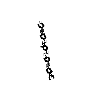 CCN(CC)c1ccc(N=Nc2ccc(N=Nc3ccc(N=Nc4ccc(N=Nc5ccncc5)cc4)c(C)c3)cc2)cc1